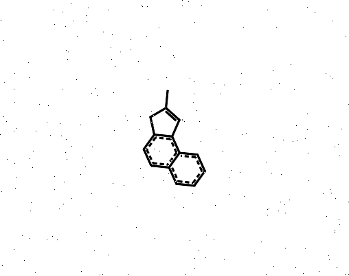 CC1=[C]c2c(ccc3ccccc23)C1